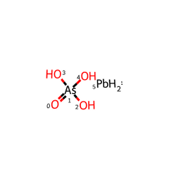 O=[As](O)(O)O.[PbH2]